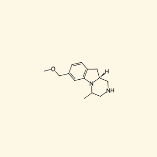 COCc1ccc2c(c1)N1C(C)CNC[C@H]1C2